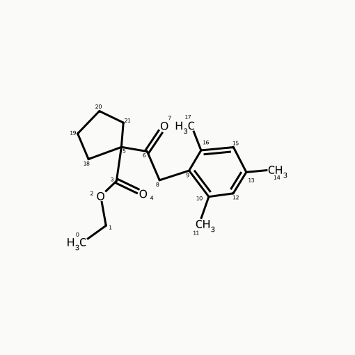 CCOC(=O)C1(C(=O)Cc2c(C)cc(C)cc2C)CCCC1